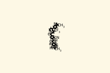 Cn1cnc2cc(-c3cccn4c(C(=O)c5ccc(NC(=O)c6c(F)c(F)c(S(C)(=N)=O)c(F)c6F)c(C#N)c5)ccc34)c(C(F)(F)F)cc21